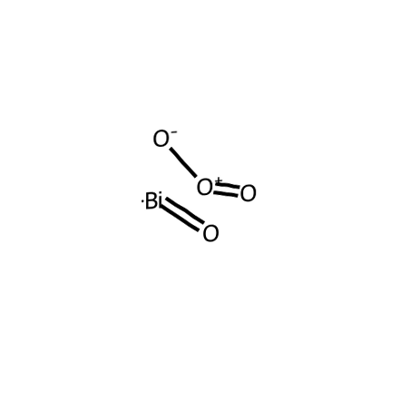 O=[O+][O-].[O]=[Bi]